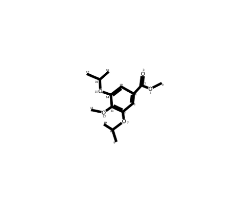 COC(=O)c1cc(OC(C)C)c(OC)c(OC(C)C)c1